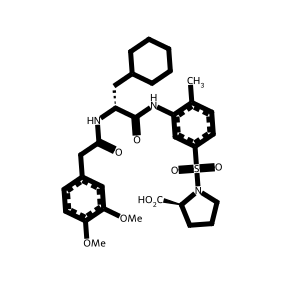 COc1ccc(CC(=O)N[C@H](CC2CCCCC2)C(=O)Nc2cc(S(=O)(=O)N3CCC[C@H]3C(=O)O)ccc2C)cc1OC